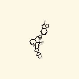 Cc1cc2cc(OCC3=CC=CN(C4CC5(COC5)C4)C3C(F)(F)F)ccc2o1